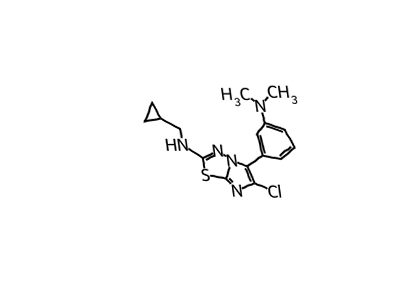 CN(C)c1cccc(-c2c(Cl)nc3sc(NCC4CC4)nn23)c1